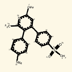 COc1cc(-c2ccc(S(C)(=O)=O)cc2)c(-c2ccc(SC)cc2)c(C(F)(F)F)n1